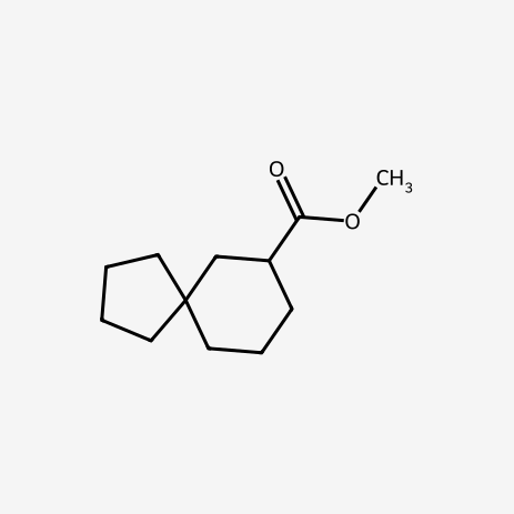 COC(=O)C1CCCC2(CCCC2)C1